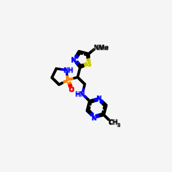 CNc1cnc(C(CNc2cnc(C)cn2)P2(=O)CCCN2)s1